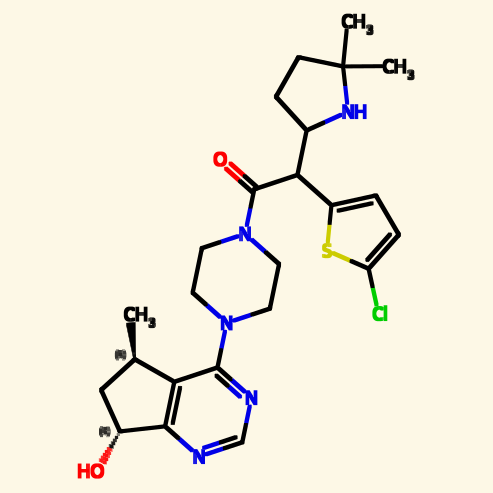 C[C@@H]1C[C@@H](O)c2ncnc(N3CCN(C(=O)C(c4ccc(Cl)s4)C4CCC(C)(C)N4)CC3)c21